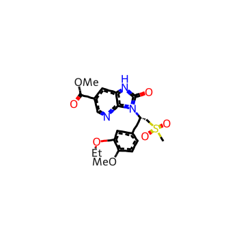 CCOc1cc([C@@H](CS(C)(=O)=O)n2c(=O)[nH]c3cc(C(=O)OC)cnc32)ccc1OC